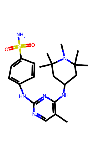 Cc1cnc(Nc2ccc(S(N)(=O)=O)cc2)nc1NC1CC(C)(C)N(C)C(C)(C)C1